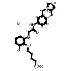 CCCCCCCCCCCCCCOc1c(F)cccc1OCC(=O)Nc1cccc(C[n+]2cscc2C)c1.[Br-]